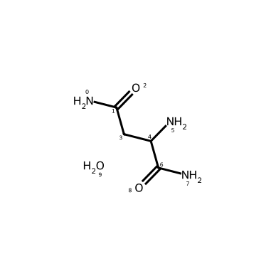 NC(=O)CC(N)C(N)=O.O